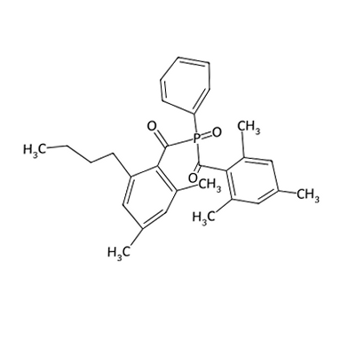 CCCCc1cc(C)cc(C)c1C(=O)P(=O)(C(=O)c1c(C)cc(C)cc1C)c1ccccc1